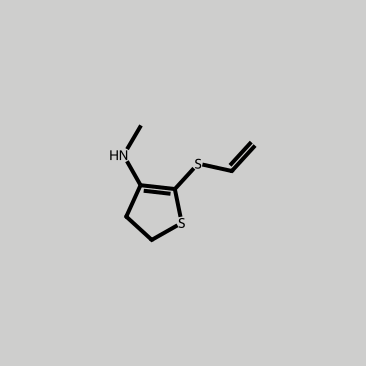 C=CSC1=C(NC)CCS1